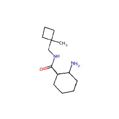 CC1(CNC(=O)C2CCCCC2N)CCC1